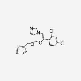 Clc1ccc(C(=Cn2ccnc2)OCOCc2ccccc2)c(Cl)c1